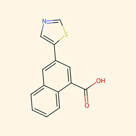 O=C(O)c1cc(-c2cncs2)cc2ccccc12